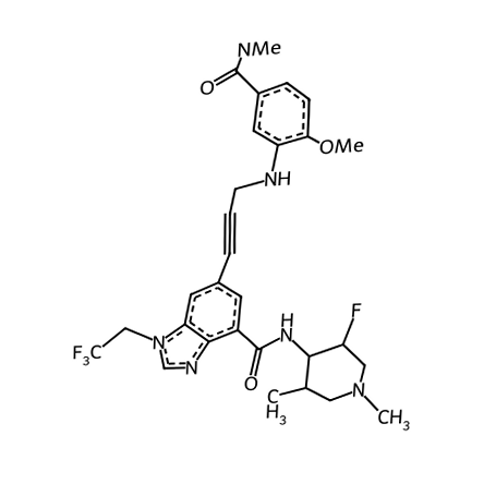 CNC(=O)c1ccc(OC)c(NCC#Cc2cc(C(=O)NC3C(C)CN(C)CC3F)c3ncn(CC(F)(F)F)c3c2)c1